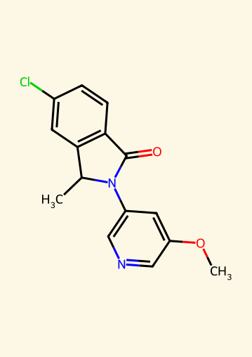 COc1cncc(N2C(=O)c3ccc(Cl)cc3C2C)c1